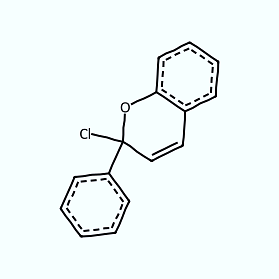 ClC1(c2ccccc2)C=Cc2ccccc2O1